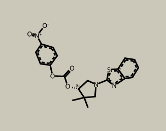 CC1(C)CN(c2nc3ccccc3s2)C[C@H]1OC(=O)Oc1ccc([N+](=O)[O-])cc1